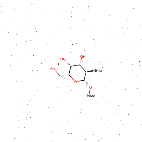 CNO[C@@H]1O[C@H](CO)[C@H](O)[C@H](O)[C@H]1NC(C)=O